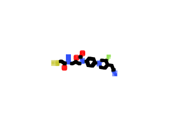 N#CCC1CCN(c2ccc(N3CC(CNC(=O)CS)OC3=O)cc2)CC1F